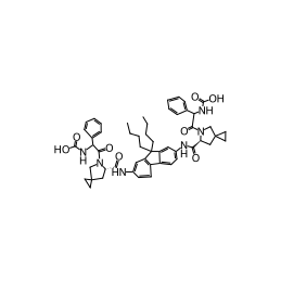 CCCCC1(CCCC)c2cc(NC(=O)[C@@H]3CC4(CC4)CN3C(=O)C(NC(=O)O)c3ccccc3)ccc2-c2ccc(NC(=O)[C@@H]3CC4(CC4)CN3C(=O)C(NC(=O)O)c3ccccc3)cc21